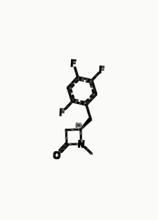 CN1C(=O)C[C@H]1Cc1cc(F)c(F)cc1F